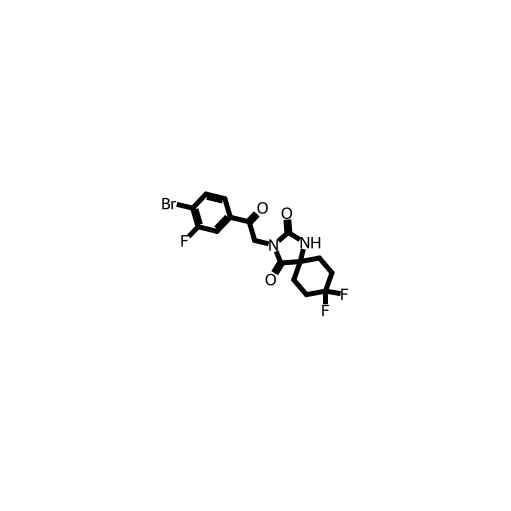 O=C(CN1C(=O)NC2(CCC(F)(F)CC2)C1=O)c1ccc(Br)c(F)c1